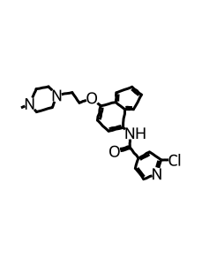 CN1CCN(CCOc2ccc(NC(=O)c3ccnc(Cl)c3)c3ccccc23)CC1